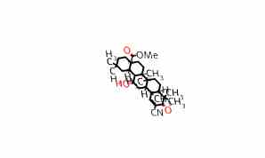 COC(=O)[C@]12CCC(C)(C)C[C@@H]1C1[C@@H](O)C[C@@H]3[C@@]4(C)C=C(C#N)C(=O)C(C)(C)[C@@H]4CC[C@@]3(C)[C@]1(C)CC2